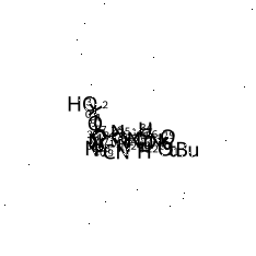 CC(C)(O)COc1cc(-c2cnc(N3C[C@H]4CN(C(=O)OC(C)(C)C)C[C@H]4C3)cn2)c2c(C#N)cnn2c1